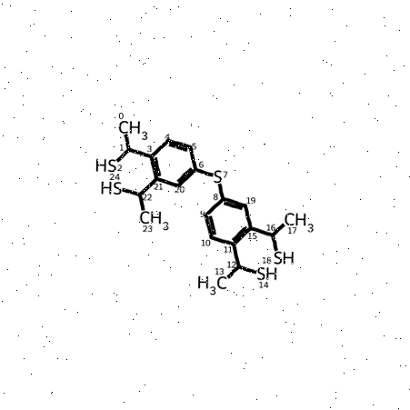 CC(S)c1ccc(Sc2ccc(C(C)S)c(C(C)S)c2)cc1C(C)S